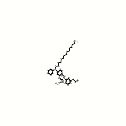 CCCCCCCCCCCCCCON(c1ccccc1)c1ccc(CN(C(=O)NC)c2cccc(CCBr)c2)cc1